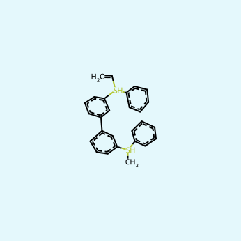 C=C[SH](c1ccccc1)c1cccc(-c2cccc([SH](C)c3ccccc3)c2)c1